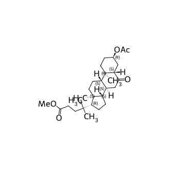 COC(=O)CCC(C)(C)[C@H]1CC[C@H]2[C@@H]3CC(=O)[C@H]4C[C@H](OC(C)=O)CC[C@]4(C)[C@H]3CC[C@]12C